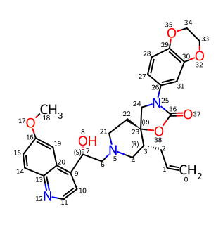 C=CC[C@@H]1CN(C[C@@H](O)c2ccnc3ccc(OC)cc23)CC[C@]12CN(c1ccc3c(c1)OCCO3)C(=O)O2